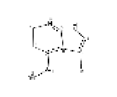 CCCOc1ccnc2[nH]cc(I)c12